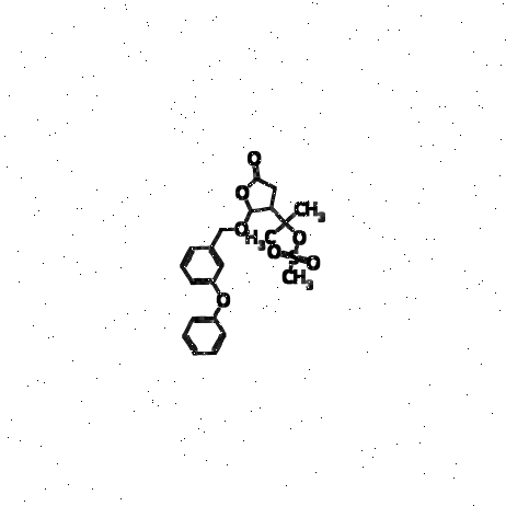 CC(C)(OS(C)(=O)=O)C1CC(=O)OC1OCc1cccc(Oc2ccccc2)c1